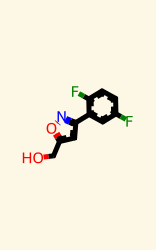 OCc1cc(-c2cc(F)ccc2F)no1